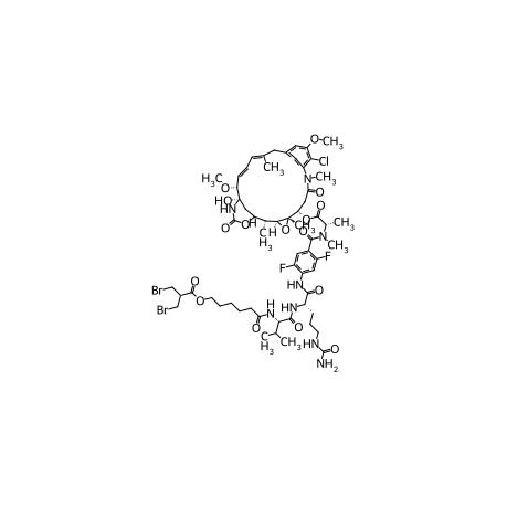 COc1cc2cc(c1Cl)N(C)C(=O)C[C@H](OC(=O)[C@H](C)N(C)C(=O)c1cc(F)c(NC(=O)[C@H](CCCNC(N)=O)NC(=O)[C@@H](NC(=O)CCCCCOC(=O)C(CBr)CBr)C(C)C)cc1F)[C@]1(C)O[C@H]1[C@H](C)[C@@H]1C[C@@](O)(NC(=O)O1)[C@H](OC)/C=C/C=C(\C)C2